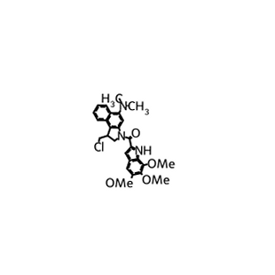 COc1cc2cc(C(=O)N3CC(CCl)c4c3cc(N(C)C)c3ccccc43)[nH]c2c(OC)c1OC